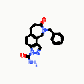 NC(=O)n1ncc2c3c(ccc21)C[CH]C(=O)N(Cc1ccccc1)C3